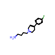 NCCCCN1CC=C(c2ccc(F)cc2)CC1